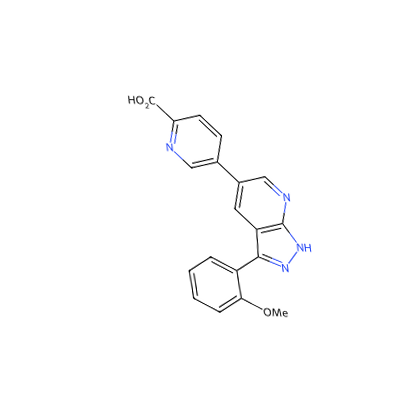 COc1ccccc1-c1n[nH]c2ncc(-c3ccc(C(=O)O)nc3)cc12